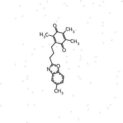 CC1=C(C)C(=O)C(CCCc2nc3cc(C)ccc3o2)=C(C)C1=O